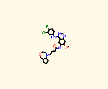 COc1cc2ncnc(Nc3ccc(F)c(Cl)c3)c2cc1NC(=O)/C=C/CN1CCOCC2CCCC21